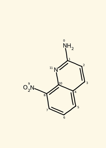 Nc1ccc2cccc([N+](=O)[O-])c2n1